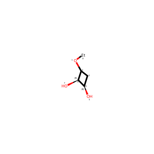 CCOC1C[C@@H](O)[C@H]1O